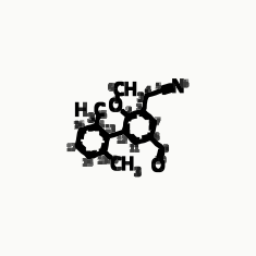 COc1c(CC#N)cc(C=O)cc1-c1c(C)cccc1C